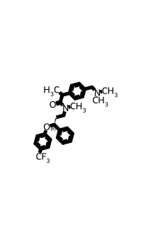 CC(C(=O)N(C)CC[C@@H](Oc1ccc(C(F)(F)F)cc1)c1ccccc1)c1ccc(CN(C)C)cc1